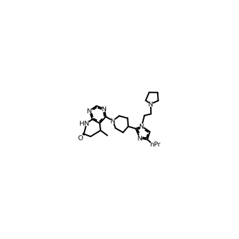 CCCc1cn(CCN2CCCC2)c(C2CCN(c3ncnc4c3C(C)CC(=O)N4)CC2)n1